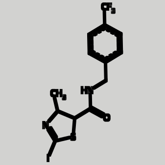 CC1N=C(I)SC1C(=O)NCc1ccc(C(F)(F)F)cc1